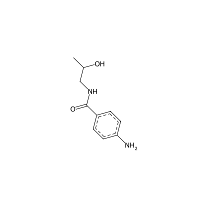 CC(O)CNC(=O)c1ccc(N)cc1